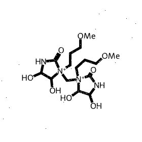 COCCC[N+]1(C[N+]2(CCCOC)C(=O)NC(O)C2O)C(=O)NC(O)C1O